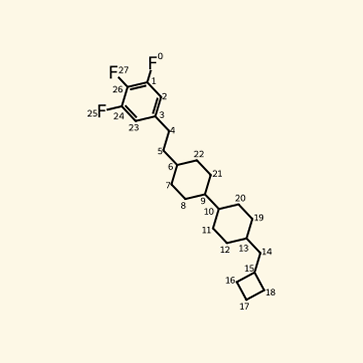 Fc1cc(CCC2CCC(C3CCC(CC4CCC4)CC3)CC2)cc(F)c1F